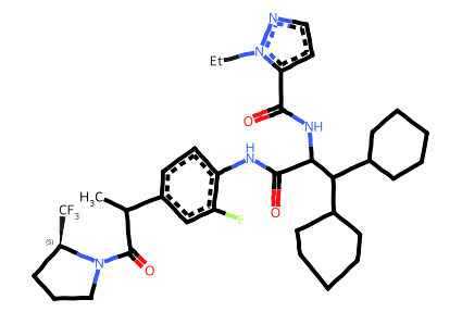 CCn1nccc1C(=O)NC(C(=O)Nc1ccc(C(C)C(=O)N2CCC[C@H]2C(F)(F)F)cc1F)C(C1CCCCC1)C1CCCCC1